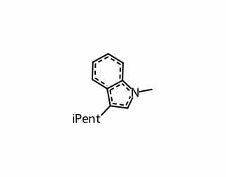 CCCC(C)c1cn(C)c2ccccc12